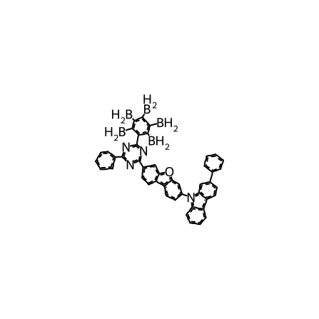 Bc1c(B)c(B)c(-c2nc(-c3ccccc3)nc(-c3ccc4c(c3)oc3cc(-n5c6ccccc6c6ccc(-c7ccccc7)cc65)ccc34)n2)c(B)c1B